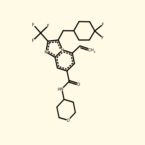 C=Cc1cc(C(=O)NC2CCOCC2)cc2nc(C(F)(F)F)c(CC3CCC(F)(F)CC3)n12